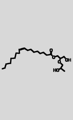 CCCCCCCC/C=C\CCCCCCCC(=O)OCC(CO)OCC(C)O